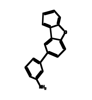 Nc1cccc(-c2ccc3oc4ccccc4c3c2)c1